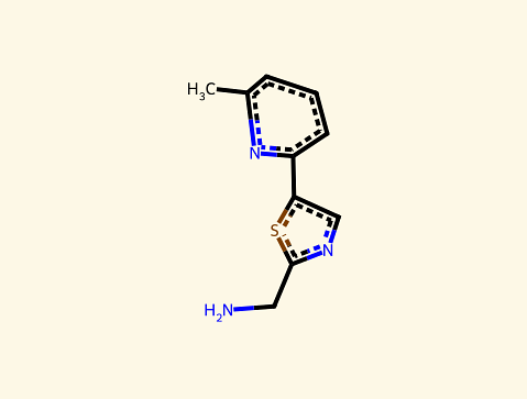 Cc1cccc(-c2cnc(CN)s2)n1